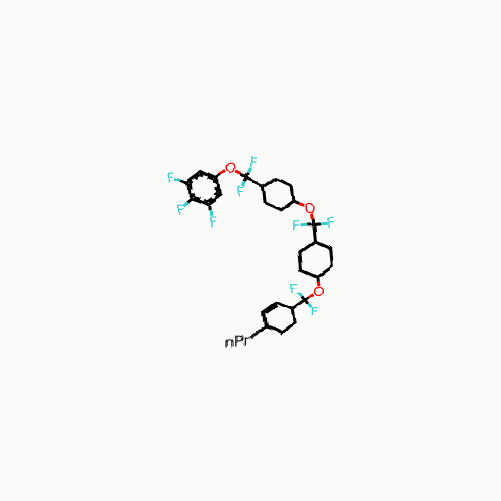 CCCC1C=CC(C(F)(F)OC2CCC(C(F)(F)OC3CCC(C(F)(F)Oc4cc(F)c(F)c(F)c4)CC3)CC2)CC1